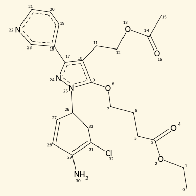 CCOC(=O)CCCOc1c(CCOC(C)=O)c(-c2cccnc2)nn1C1C=CC(N)=C(Cl)C1